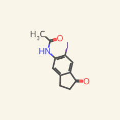 CC(=O)Nc1cc2c(cc1I)C(=O)CC2